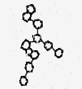 c1ccc(-c2ccc(-c3nc(-c4cccc(-c5cccc6ccccc56)c4)nc(-c4cccc5oc6c(-c7ccc(-c8ccccc8)cc7)cccc6c45)n3)cc2)cc1